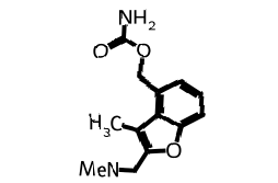 CNCc1oc2cccc(COC(N)=O)c2c1C